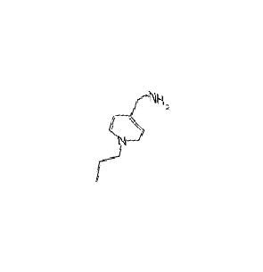 CCCN1C=CC(CN)=CC1